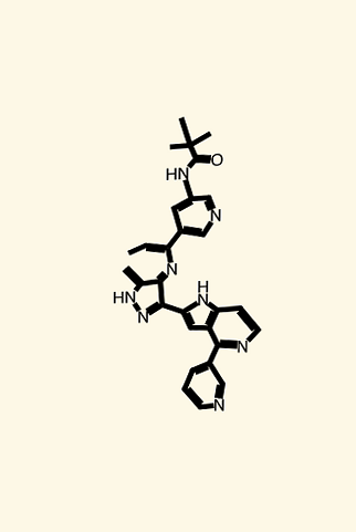 C=C1NN=C(c2cc3c(-c4cccnc4)nccc3[nH]2)/C1=N/C(=C\C)c1cncc(NC(=O)C(C)(C)C)c1